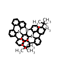 CC(C)(C)c1ccc(-c2cccc(-c3ccccc3)c2N2c3ccccc3B3c4ccccc4N(c4c(-c5ccccc5)cccc4-c4ccc(C(C)(C)C)cc4)c4cccc2c43)cc1